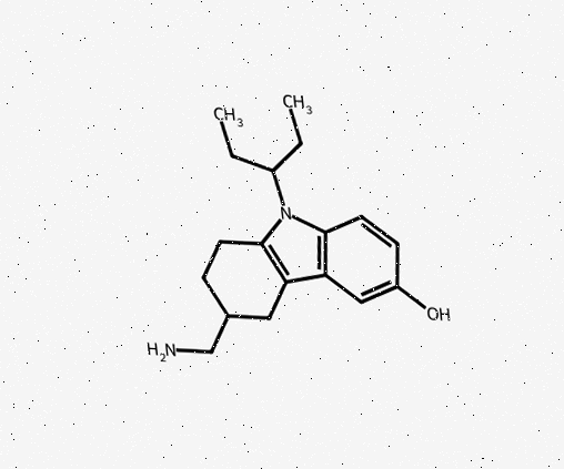 CCC(CC)n1c2c(c3cc(O)ccc31)CC(CN)CC2